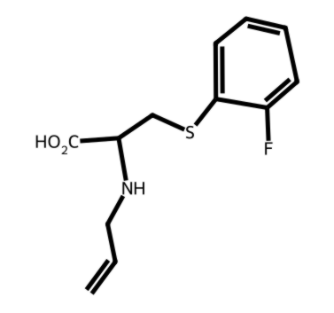 C=CCNC(CSc1ccccc1F)C(=O)O